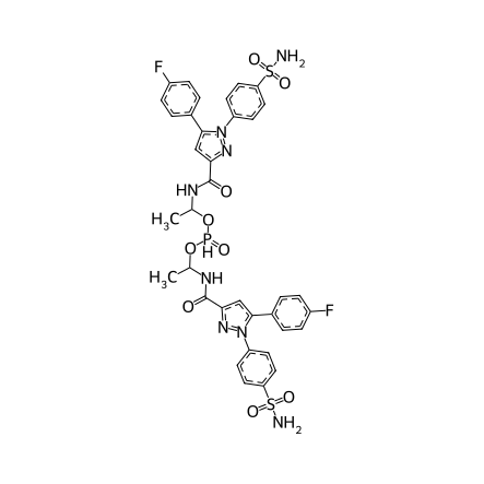 CC(NC(=O)c1cc(-c2ccc(F)cc2)n(-c2ccc(S(N)(=O)=O)cc2)n1)O[PH](=O)OC(C)NC(=O)c1cc(-c2ccc(F)cc2)n(-c2ccc(S(N)(=O)=O)cc2)n1